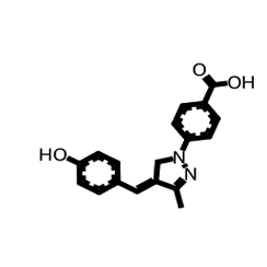 CC1=NN(c2ccc(C(=O)O)cc2)CC1=Cc1ccc(O)cc1